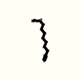 C#CCCCCCCCCCCC[CH2]